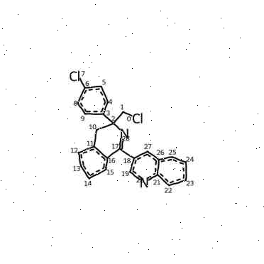 ClCC1(c2ccc(Cl)cc2)Cc2ccccc2C(c2cnc3ccccc3c2)=N1